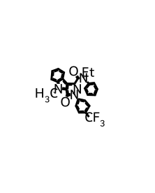 CCN(C(=O)c1nn(-c2ccc(C(F)(F)F)cc2)c(=O)c2c1c1ccccc1n2C)c1ccccc1